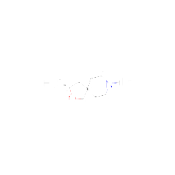 CC(C)N1CCC2(CC1)CO[C@@H](C)C2